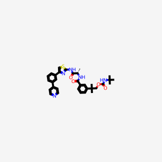 C[C@H](NC(=O)c1cccc(C(C)(C)COC(=O)NC(C)(C)C)c1)C(=O)Nc1nc(-c2cccc(-c3ccncc3)c2)cs1